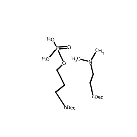 CCCCCCCCCCCCCOP(=O)(O)O.CCCCCCCCCCCCN(C)C